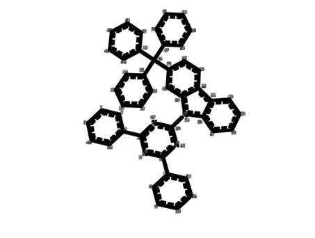 c1ccc(-c2nc(-c3ccccc3)nc(-n3c4ccccc4c4ccc(C(c5ccccc5)(c5ccccc5)c5ccccc5)cc43)n2)cc1